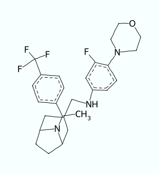 CC(c1ccc(C(F)(F)F)cc1)N1C2CCC1CC(CNc1ccc(N3CCOCC3)c(F)c1)C2